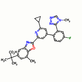 Cc1cc(C(C)(C)C(=O)O)cc2nc(-c3cc(-c4ccc(F)cc4-c4nncn4C)cc(C4CC4)n3)oc12